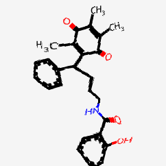 CC1=C(C)C(=O)C(C(CCCNC(=O)c2ccccc2O)c2ccccc2)=C(C)C1=O